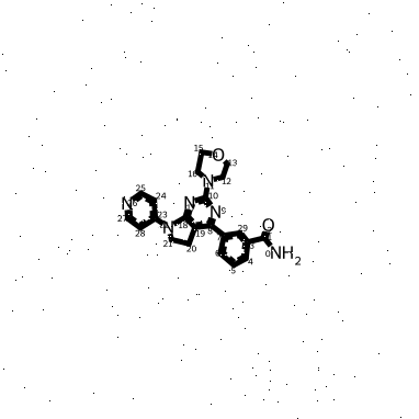 NC(=O)c1cccc(-c2nc(N3CCOCC3)nc3c2CCN3c2ccncc2)c1